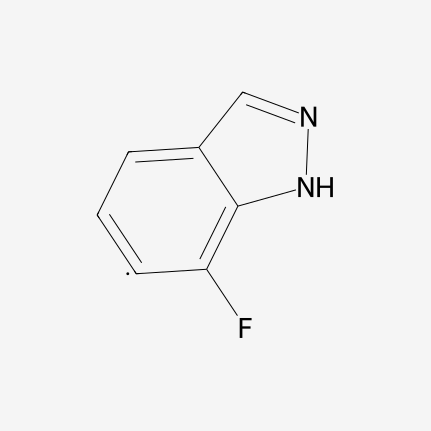 Fc1[c]ccc2cn[nH]c12